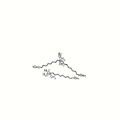 CCCCCCCCCCCCCCCCCC[N+](C)(C)C.CCCCCCCCCCCCCCCCCC[N+](C)(C)CCCCCCCCCCCCCCCCCC.[Br-].[Cl-]